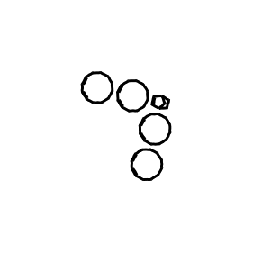 C1=CC2CCC1C2.C1=CCCCCCCCCC=C1.C1=CCCCCCCCCC=C1.C1=CCCCCCCCCC=C1.C1=CCCCCCCCCC=C1